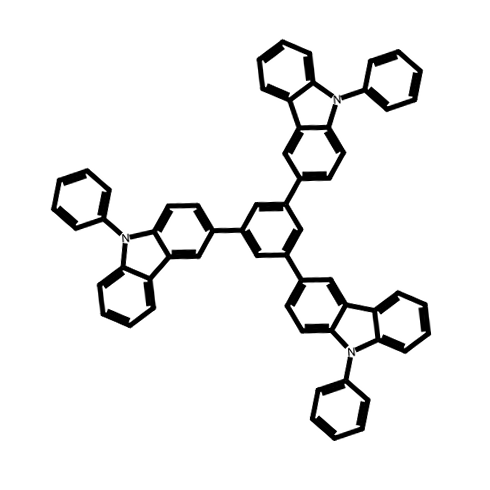 c1ccc(-n2c3ccccc3c3cc(-c4cc(-c5ccc6c(c5)c5ccccc5n6-c5ccccc5)cc(-c5ccc6c(c5)c5ccccc5n6-c5ccccc5)c4)ccc32)cc1